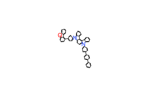 c1ccc(-c2ccc(-c3ccc(-n4c5ccccc5c5c6c7ccccc7n(-c7ccc(-c8cccc9oc%10ccccc%10c89)cc7)c6ccc54)cc3)cc2)cc1